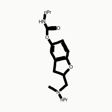 CCCNC(=O)Oc1ccc2c(c1)CC(CN(C)CCC)O2